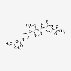 COc1c(Nc2ccc(S(C)(=O)=O)nc2F)ncnc1OC1CCN(C(=O)OC(C)C)CC1